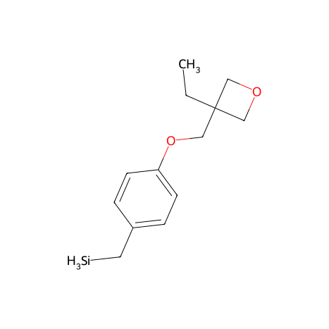 CCC1(COc2ccc(C[SiH3])cc2)COC1